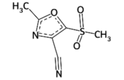 Cc1nc(C#N)c(S(C)(=O)=O)o1